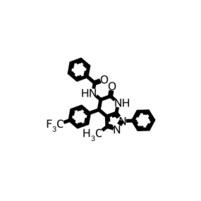 Cc1nn(-c2ccccc2)c2c1C(c1ccc(C(F)(F)F)cc1)C(NC(=O)c1ccccc1)C(=O)N2